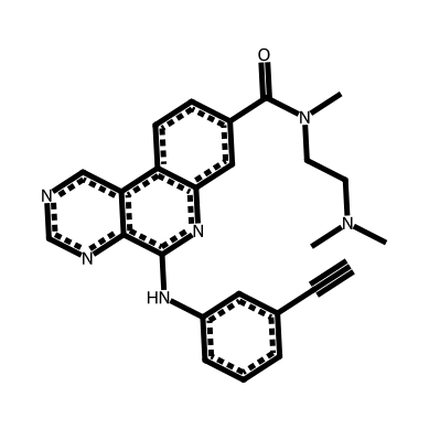 C#Cc1cccc(Nc2nc3cc(C(=O)N(C)CCN(C)C)ccc3c3cncnc23)c1